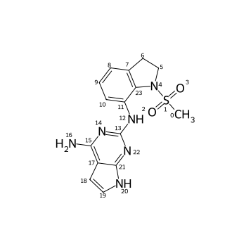 CS(=O)(=O)N1CCc2cccc(Nc3nc(N)c4cc[nH]c4n3)c21